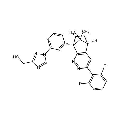 CC1(C)[C@H]2CC[C@]1(c1ccnc(-n3cnc(CO)n3)n1)c1nnc(-c3c(F)cccc3F)cc12